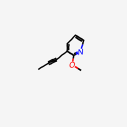 CC#Cc1cccnc1OC